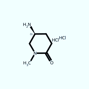 CN1C[C@@H](N)CCC1=O.Cl.Cl